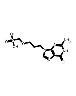 Nc1nc2c(ncn2CCCOCP(=O)(O)O)c(=O)[nH]1